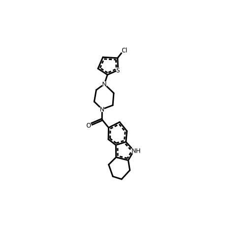 O=C(c1ccc2[nH]c3c(c2c1)CCCC3)N1CCN(c2ccc(Cl)s2)CC1